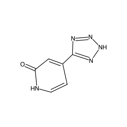 O=c1cc(-c2nn[nH]n2)cc[nH]1